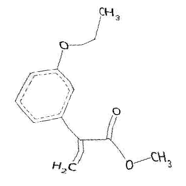 C=C(C(=O)OC)c1cccc(OCC)c1